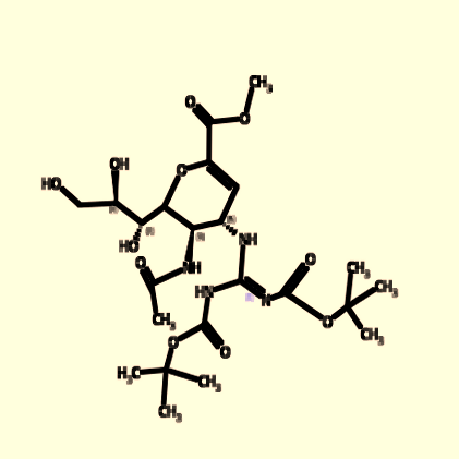 COC(=O)C1=C[C@H](N/C(=N\C(=O)OC(C)(C)C)NC(=O)OC(C)(C)C)[C@@H](NC(C)=O)C([C@H](O)[C@H](O)CO)O1